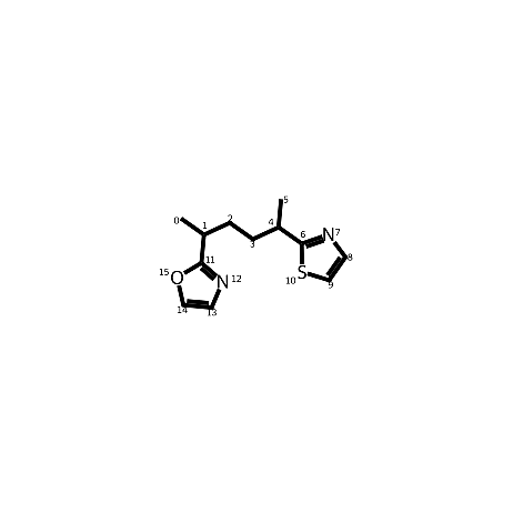 CC(CCC(C)c1nccs1)c1ncco1